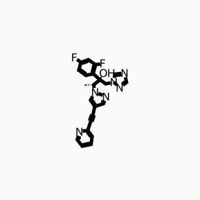 C[C@@H](n1cc(C#Cc2ccccn2)cn1)[C@](O)(Cn1cncn1)c1ccc(F)cc1F